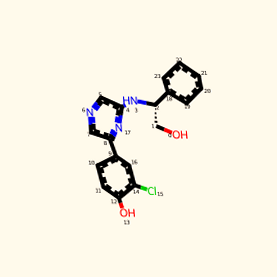 OC[C@H](Nc1cncc(-c2ccc(O)c(Cl)c2)n1)c1ccccc1